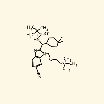 CC(C)(C)[S@@+]([O-])NC(c1nc2ccc(C#N)cc2n1COCC[Si](C)(C)C)C1CCC(F)(F)CC1